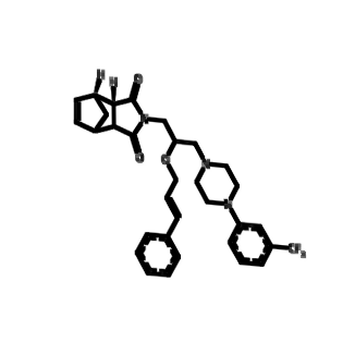 O=C1C2C3C=C[C@@H](C3)[C@@H]2C(=O)N1CC(CN1CCN(c2cccc(C(F)(F)F)c2)CC1)OCC=Cc1ccccc1